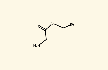 C=C(CN)OCC(C)C